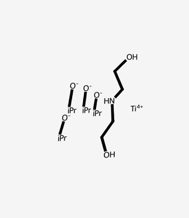 CC(C)[O-].CC(C)[O-].CC(C)[O-].CC(C)[O-].OCCNCCO.[Ti+4]